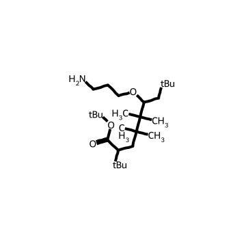 CC(C)(C)CC(OCCCN)C(C)(C)C(C)(C)CC(C(=O)OC(C)(C)C)C(C)(C)C